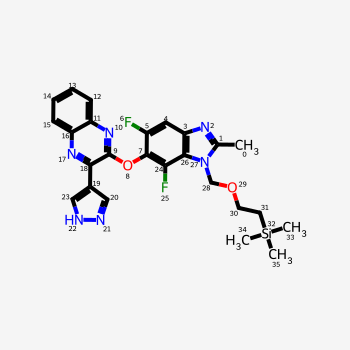 Cc1nc2cc(F)c(Oc3nc4ccccc4nc3-c3cn[nH]c3)c(F)c2n1COCC[Si](C)(C)C